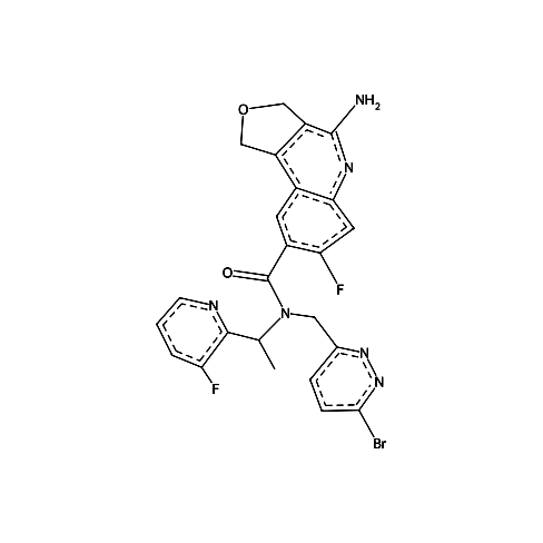 CC(c1ncccc1F)N(Cc1ccc(Br)nn1)C(=O)c1cc2c3c(c(N)nc2cc1F)COC3